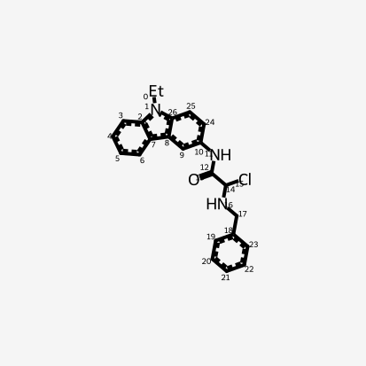 CCn1c2ccccc2c2cc(NC(=O)C(Cl)NCc3ccccc3)ccc21